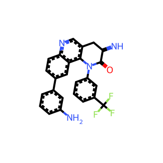 N=C1Cc2cnc3ccc(-c4cccc(N)c4)cc3c2N(c2cccc(C(F)(F)F)c2)C1=O